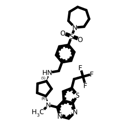 CN(c1ncnc2sc(CC(F)(F)F)cc12)[C@@H]1CC[C@H](NCc2ccc(S(=O)(=O)N3CCCCCC3)cc2)C1